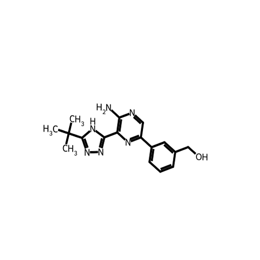 CC(C)(C)c1nnc(-c2nc(-c3cccc(CO)c3)cnc2N)[nH]1